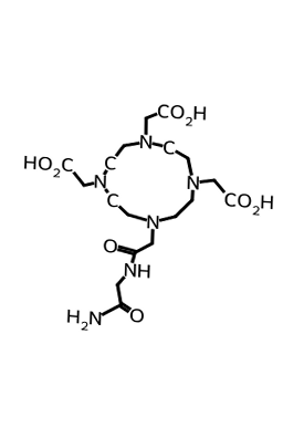 NC(=O)CNC(=O)CN1CCN(CC(=O)O)CCN(CC(=O)O)CCN(CC(=O)O)CC1